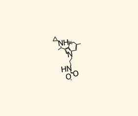 COC(=O)NCCCn1cc(C(C)NC2CC2)c2c1C=C(C)C[C@H]2C